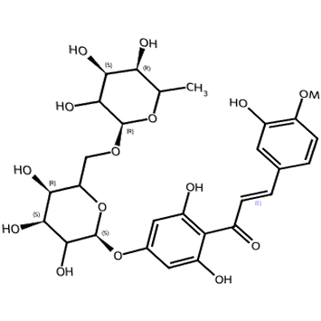 COc1ccc(/C=C/C(=O)c2c(O)cc(O[C@@H]3OC(CO[C@@H]4OC(C)[C@H](O)[C@H](O)C4O)[C@H](O)[C@H](O)C3O)cc2O)cc1O